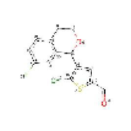 O=Cc1cc(C2OCCc3ccc(F)cc32)c(Cl)s1